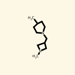 CC1CCN(CC2CN(C)C2)CC1